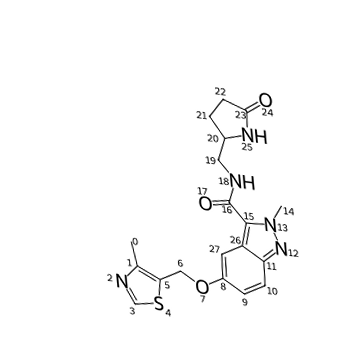 Cc1ncsc1COc1ccc2nn(C)c(C(=O)NCC3CCC(=O)N3)c2c1